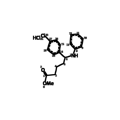 COC(=O)CCCC(Nc1ccccc1)c1ccc(Cl)cc1.Cl